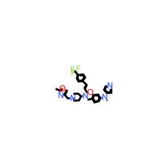 Cc1nc(CN2CCC(N(Cc3ccc(N(C)c4ccncc4)cc3)C(=O)/C=C/c3ccc(C(F)(F)F)cc3)CC2)co1